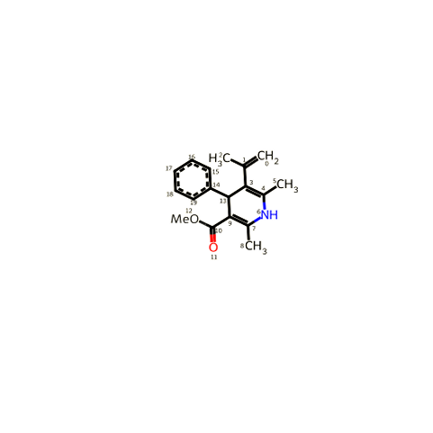 C=C(C)C1=C(C)NC(C)=C(C(=O)OC)C1c1ccccc1